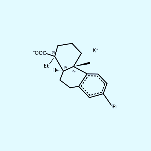 CC[C@]1(C(=O)[O-])CCC[C@]2(C)c3ccc(C(C)C)cc3CC[C@@H]12.[K+]